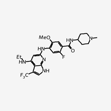 CCNc1cc(Nc2cc(F)c(C(=O)NC3CCN(C)CC3)cc2OC)nc2[nH]cc(C(F)(F)F)c12